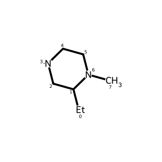 CCC1C[N]CCN1C